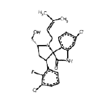 CC(C)=CCN1[C@@H](CO)C[C@H](c2cccc(Cl)c2F)[C@]12C(=O)Nc1cc(Cl)ccc12